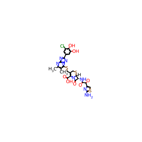 Cc1nc2nc(-c3cc(O)c(O)c(Cl)c3)nn2c(SCC2=C(C(=O)O)N3C(=O)[C@@H](NC(=O)C(=O)c4csc(N)n4)[C@H]3SC2)c1C